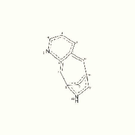 C1=c2cccnc2=Cc2cc1c[nH]2